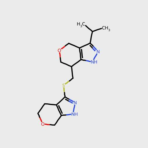 CC(C)c1n[nH]c2c1COCC2CSc1n[nH]c2c1CCOC2